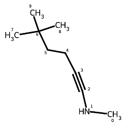 CNC#CCCC(C)(C)C